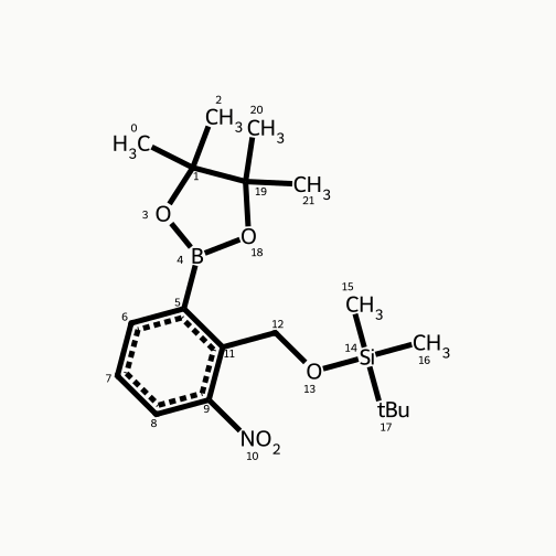 CC1(C)OB(c2cccc([N+](=O)[O-])c2CO[Si](C)(C)C(C)(C)C)OC1(C)C